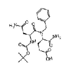 CC(C)(C)OC(=O)N[C@@H](CC(N)=O)C(=O)N(Cc1ccccc1)[C@H](CCC(=O)O)C(N)=O